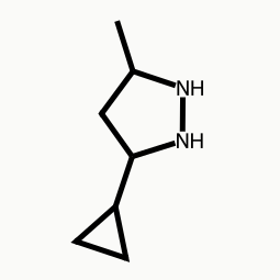 CC1CC(C2CC2)NN1